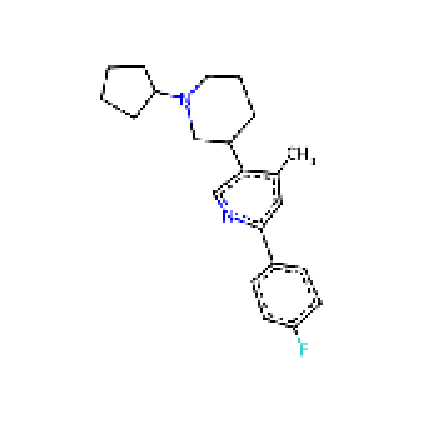 Cc1cc(-c2ccc(F)cc2)ncc1C1CCCN(C2CCCC2)C1